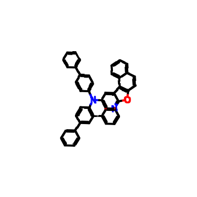 c1ccc(-c2ccc(N(c3cnc4oc5ccc6ccccc6c5c4c3)c3ccc(-c4ccccc4)cc3-c3ccccc3)cc2)cc1